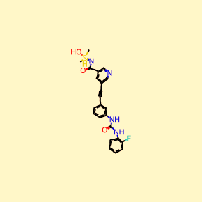 C[SH](C)(O)=NC(=O)c1cncc(C#Cc2cccc(NC(=O)Nc3ccccc3F)c2)c1